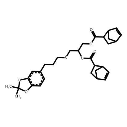 CC1(C)Oc2ccc(CCCSCC(COC(=O)C3CC4C=CC3C4)OC(=O)C3CC4C=CC3C4)cc2O1